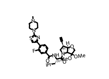 C#C[C@@H]1CN(C(=O)[C@H](CC(C)C)NC(=O)c2ccc(-c3csc(N4CCN(C)CC4)n3)c(F)c2)C2[C@@H]1OCC2(OC)OC